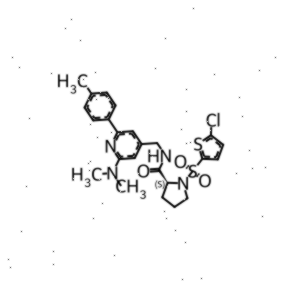 Cc1ccc(-c2cc(CNC(=O)[C@@H]3CCCN3S(=O)(=O)c3ccc(Cl)s3)cc(N(C)C)n2)cc1